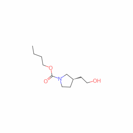 CCCCOC(=O)N1CC[C@H](CCO)C1